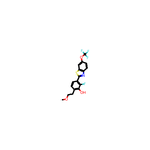 [CH2]OCCc1ccc(-c2nc3ccc(OC(F)(F)F)cc3s2)c(F)c1O